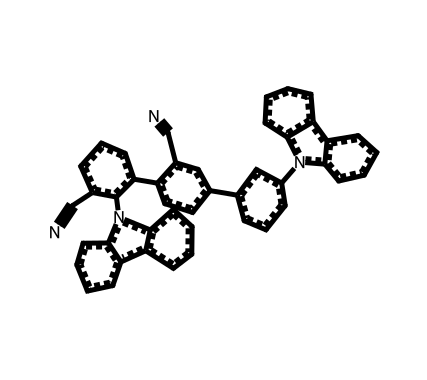 N#Cc1cc(-c2cccc(-n3c4ccccc4c4ccccc43)c2)ccc1-c1cccc(C#N)c1-n1c2ccccc2c2ccccc21